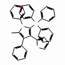 Cc1c(-c2ccccc2)c(-c2ccco2)c([Si](c2ccccc2)(c2ccccc2)c2ccccc2)n1-c1ccccc1